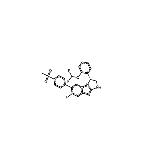 CS(=O)(=O)c1ccc(-c2cc3c(cc2F)nc2n3[C@H](c3ccccc3OC(F)F)CN2)cc1